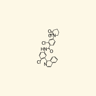 O=C(Nc1ccc(Cl)c(-c2nccc3ccccc23)c1)c1ccc(N2CCCCS2(=O)=O)cc1Cl